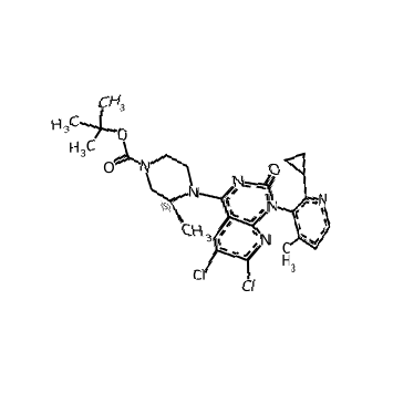 Cc1ccnc(C2CC2)c1-n1c(=O)nc(N2CCN(C(=O)OC(C)(C)C)C[C@@H]2C)c2cc(Cl)c(Cl)nc21